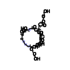 CO[C@@H]1C[C@H](C[C@@H](C)[C@@H]2CC(=O)[C@H](C)/C=C(\C)[C@@H](O)[C@@H](OC)C(=O)[C@H](C)C[C@H](C)/C=C/C=C/C=C(\C)[C@@H](OCCOCCO)C[C@@H]3CC[C@@H](C)[C@@](O)(O3)C(=O)C(=O)N3CCCC[C@H]3C(=O)O2)CC[C@H]1OCCOCCO